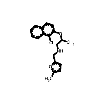 Cc1ccc(CNCC(C)Oc2ccc3ccccc3c2Cl)o1